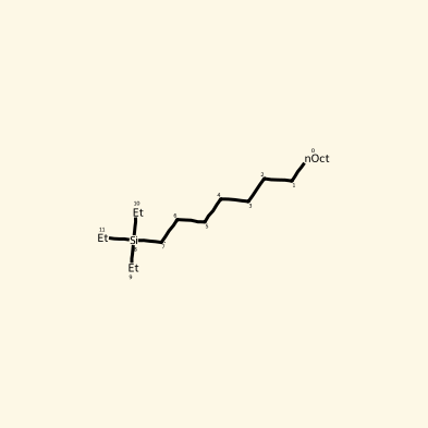 CCCCCCCCCCCCCC[CH][Si](CC)(CC)CC